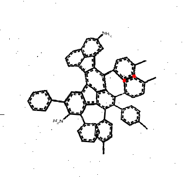 Cc1ccc(-c2c(-c3ccc(C)cc3)c3c(-c4ccc(C)cc4)c4c5cc(N)cc6cccc(c65)c4c4c5cc(-c6ccccc6)c(N)c(-c6ccccc6)c5c(c2-c2ccc(C)cc2)c34)cc1